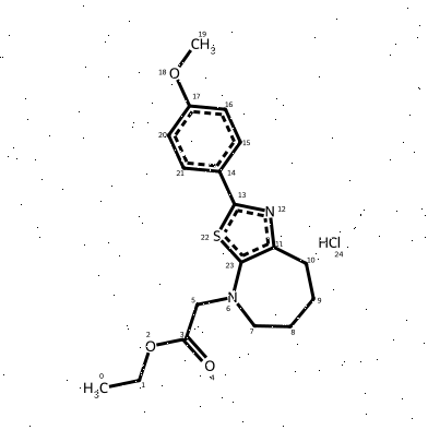 CCOC(=O)CN1CCCCc2nc(-c3ccc(OC)cc3)sc21.Cl